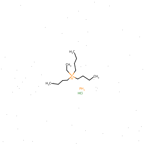 CCCC[PH](CC)(CCCC)CCCC.Cl.P